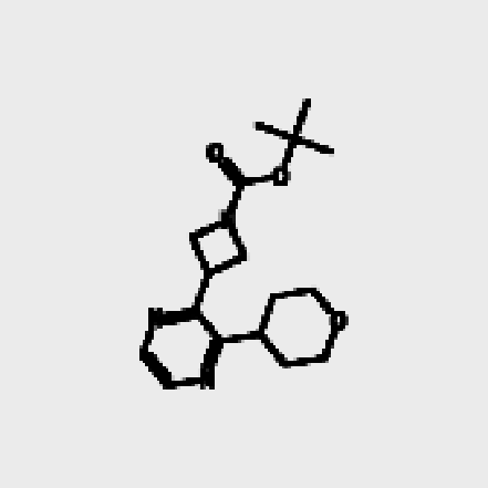 CC(C)(C)OC(=O)N1CC(c2nccnc2C2CCOCC2)C1